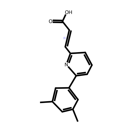 Cc1cc(C)cc(-c2cccc(/C=C/C(=O)O)n2)c1